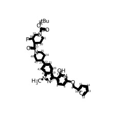 Cn1nc(-c2ccc(OCc3ccccc3)nc2O)c2ccc(C3CCN(C(=O)C4CCN(C(=O)OC(C)(C)C)CC4F)CC3)cc21